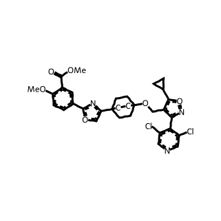 COC(=O)c1cc(-c2nc(C34CCC(OCc5c(-c6c(Cl)cncc6Cl)noc5C5CC5)(CC3)CC4)co2)ccc1OC